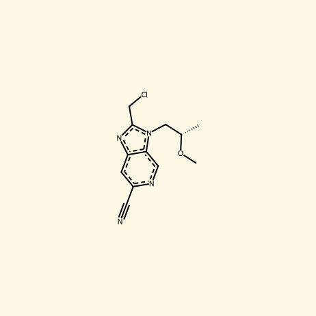 CO[C@@H](C)Cn1c(CCl)nc2cc(C#N)ncc21